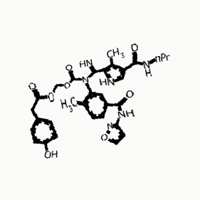 CCCNC(=O)c1c[nH]c(C(=N)N(C(=O)OCOC(=O)Cc2ccc(O)cc2)c2cc(C(=O)Nc3ccon3)ccc2C)c1C